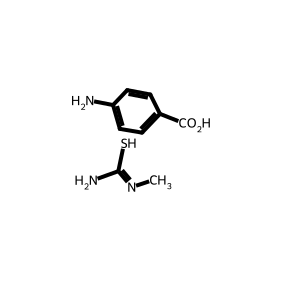 CN=C(N)S.Nc1ccc(C(=O)O)cc1